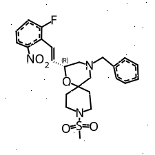 CS(=O)(=O)N1CCC2(CC1)CN(Cc1ccccc1)C[C@@H](C=Cc1c(F)cccc1[N+](=O)[O-])O2